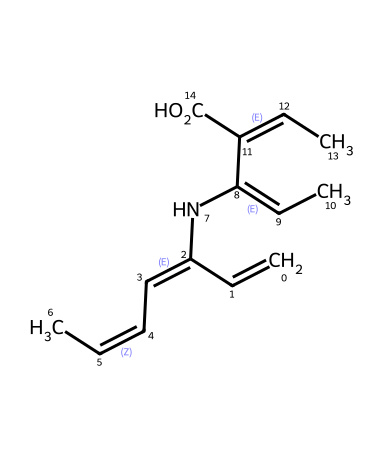 C=C/C(=C\C=C/C)NC(=C/C)/C(=C\C)C(=O)O